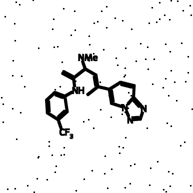 C=C(Nc1cccc(C(F)(F)F)c1)C(/C=C(\C)c1ccc2ncnn2c1)NC